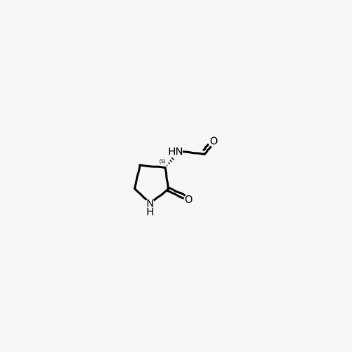 O=CN[C@H]1CCNC1=O